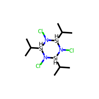 CC(C)[SiH]1N(Cl)[SiH](C(C)C)N(Cl)[SiH](C(C)C)N1Cl